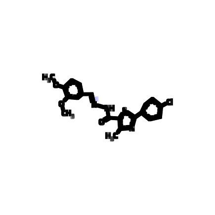 COc1ccc(/C=N/NC(=O)c2sc(-c3ccc(Cl)cc3)nc2C)cc1OC